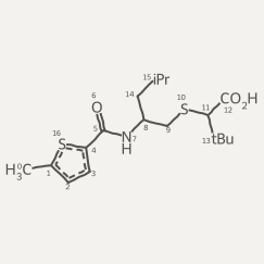 Cc1ccc(C(=O)NC(CSC(C(=O)O)C(C)(C)C)CC(C)C)s1